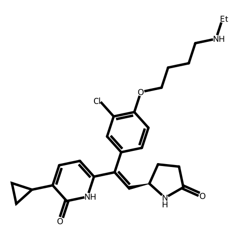 CCNCCCCOc1ccc(/C(=C\[C@H]2CCC(=O)N2)c2ccc(C3CC3)c(=O)[nH]2)cc1Cl